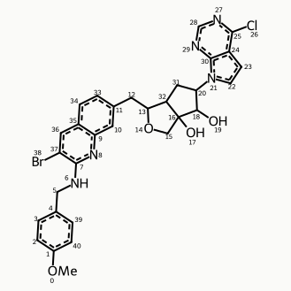 COc1ccc(CNc2nc3cc(CC4OCC5(O)C(O)C(n6ccc7c(Cl)ncnc76)CC45)ccc3cc2Br)cc1